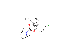 CCC1=C(c2ccc(F)cc2)CC2CCC(C1)N2C(=O)OC(C)(C)C